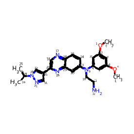 COc1cc(OC)cc(N(CCN)c2ccc3ncc(-c4cnn(C(C)C)c4)nc3c2)c1